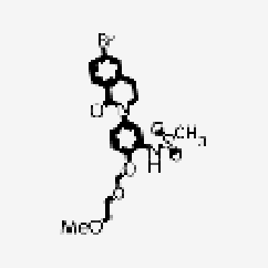 COCCOCOc1ccc(N2CCc3cc(Br)ccc3C2=O)cc1NS(C)(=O)=O